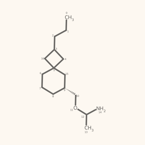 CCCC1CC2(CCC[C@@H](COC(C)N)C2)C1